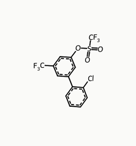 O=S(=O)(Oc1cc(-c2ccccc2Cl)cc(C(F)(F)F)c1)C(F)(F)F